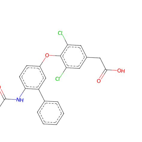 CC(=O)Nc1ccc(Oc2c(Cl)cc(CC(=O)O)cc2Cl)cc1-c1ccccc1